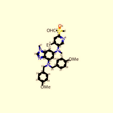 CCc1cc([SH](C)(=O)C=O)ncc1N(C)c1cc(N(Cc2ccc(OC)cc2)Cc2ccc(OC)cc2)c2ncn(C)c2c1